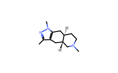 Cc1nn(C)c2c1C[C@H]1CN(C)CC[C@@H]1C2